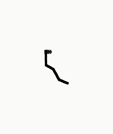 CCCC[SiH]